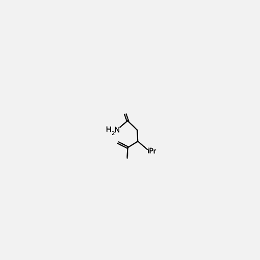 C=C(N)CC(C(=C)C)C(C)C